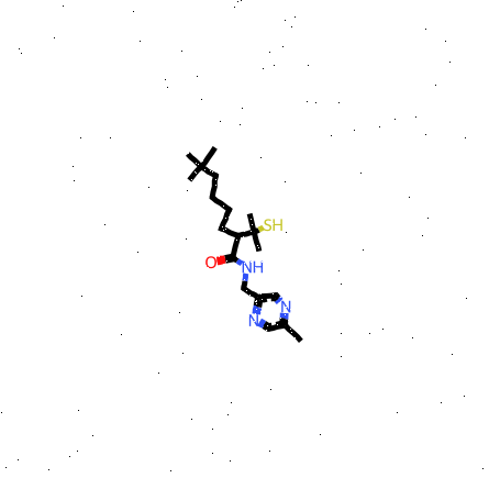 Cc1cnc(CNC(=O)C(CCCCC(C)(C)C)C(C)(C)S)cn1